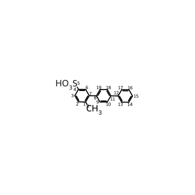 Cc1ccc(S(=O)(=O)O)cc1-c1ccc(-c2ccccc2)cc1